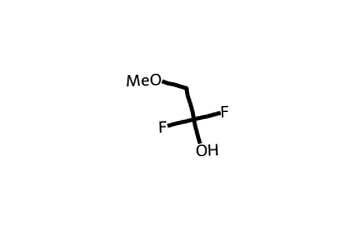 COCC(O)(F)F